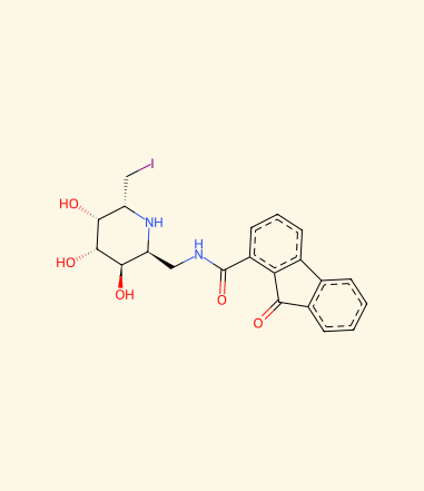 O=C(NC[C@@H]1N[C@@H](CI)[C@@H](O)[C@@H](O)[C@@H]1O)c1cccc2c1C(=O)c1ccccc1-2